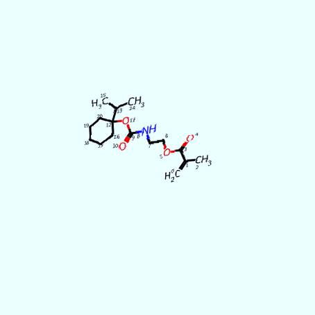 C=C(C)C(=O)OCCNC(=O)OC1(C(C)C)CCCCC1